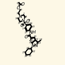 CC(=O)OCCN1CCN(S(=O)(=O)c2ccc(NC(=O)c3cc4c(C)nn(C5CCCCC5)c4s3)cc2)CC1